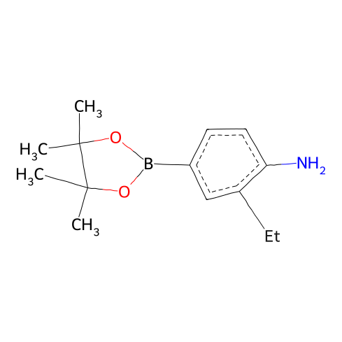 CCc1cc(B2OC(C)(C)C(C)(C)O2)ccc1N